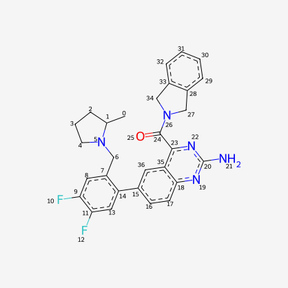 CC1CCCN1Cc1cc(F)c(F)cc1-c1ccc2nc(N)nc(C(=O)N3Cc4ccccc4C3)c2c1